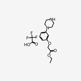 CCOC(=O)COc1cccc(N2CCNCC2)c1.O=C(O)C(F)(F)F